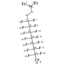 CCN(CC)CCC(F)(F)C(F)(F)C(F)(F)C(F)(F)C(F)(F)C(F)(F)C(F)(F)C(F)(F)F